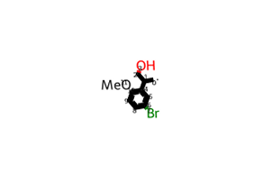 [CH2]C(CO)c1cc(Br)ccc1OC